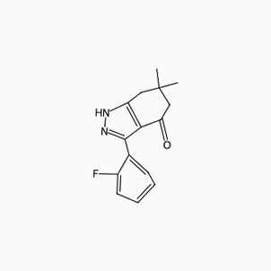 CC1(C)CC(=O)c2c(-c3ccccc3F)n[nH]c2C1